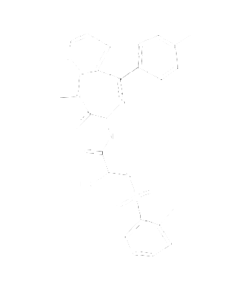 CC(NS(=O)(=O)c1ccccc1F)C(=O)NC1N=C(c2ccc(F)cc2)c2ccccc2N(C)C1=O